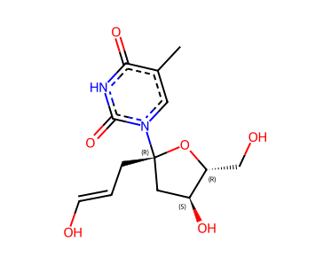 Cc1cn([C@@]2(CC=CO)C[C@H](O)[C@@H](CO)O2)c(=O)[nH]c1=O